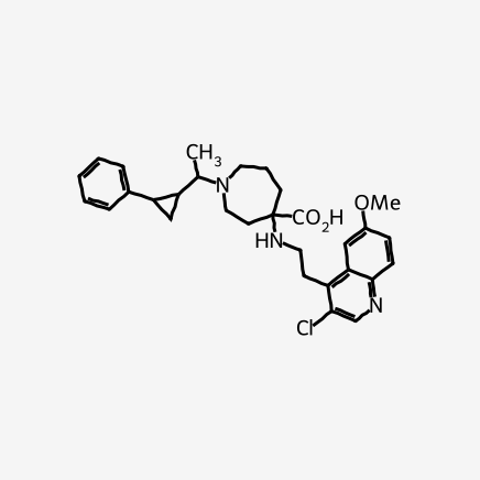 COc1ccc2ncc(Cl)c(CCNC3(C(=O)O)CCCN(C(C)C4CC4c4ccccc4)CC3)c2c1